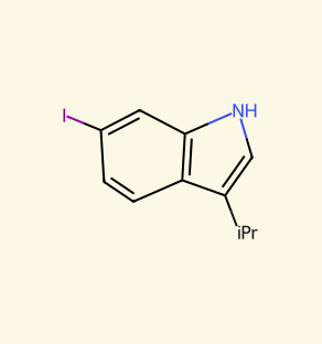 CC(C)c1c[nH]c2cc(I)ccc12